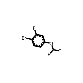 Fc1[c]c(OC(F)F)ccc1Br